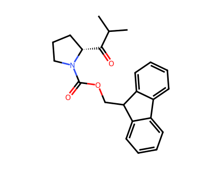 CC(C)C(=O)[C@H]1CCCN1C(=O)OCC1c2ccccc2-c2ccccc21